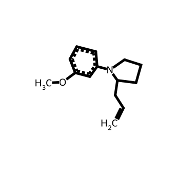 C=CCC1CCCN1c1cccc(OC)c1